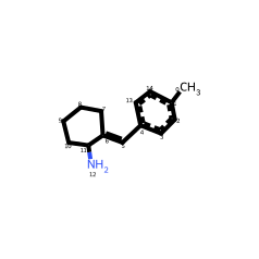 Cc1ccc(C=C2CCCCC2N)cc1